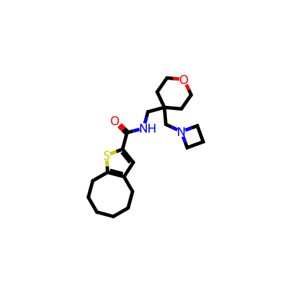 O=C(NCC1(CN2CCC2)CCOCC1)c1cc2c(s1)CCCCCC2